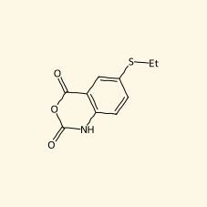 CCSc1ccc2[nH]c(=O)oc(=O)c2c1